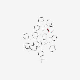 CC(C)(C)c1ccc2c(c1)c1cc(C(C)(C)C)ccc1n2-c1cc2c3c(c1)N(c1ccccc1)c1cccc(-c4ccccc4)c1B3c1ccc([Si](c3ccccc3)(c3ccccc3)c3ccccc3)cc1N2c1cccc([Si](c2ccccc2)(c2ccccc2)c2ccccc2)c1